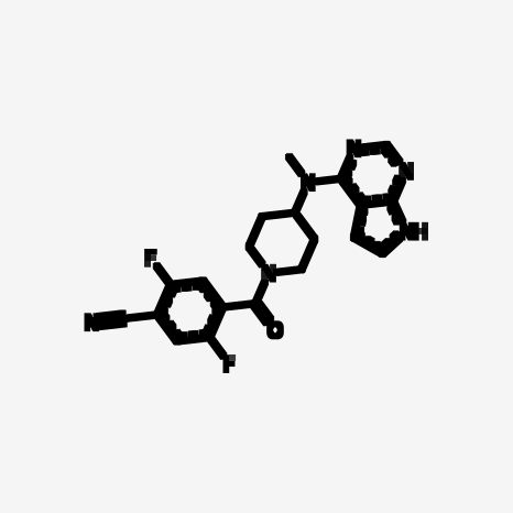 CN(c1ncnc2[nH]ccc12)C1CCN(C(=O)c2cc(F)c(C#N)cc2F)CC1